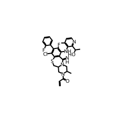 C=CC(=O)N1CC2CSc3c(Cl)c(-c4ccccc4F)c(F)c(Nc4c(C)ccnc4C(C)O)c3C(=N)N2CC1C